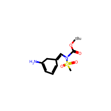 CC(C)(C)OC(=O)N(C=C1C=CC=C(N)C1)S(C)(=O)=O